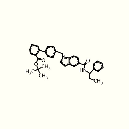 CCC(NC(=O)c1ccc2c(ccn2Cc2ccc(-c3ccccc3C(=O)OC(C)(C)C)cc2)c1)c1ccccc1